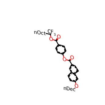 CCCCCCCCCCOc1ccc2cc(C(=O)Oc3ccc(C(=O)OC(CCCCCCCC)C(F)(F)F)cc3)ccc2c1